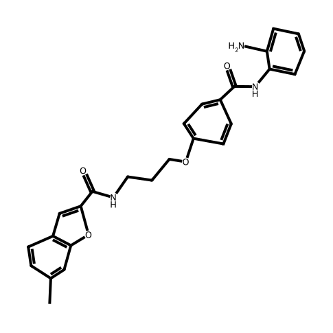 Cc1ccc2cc(C(=O)NCCCOc3ccc(C(=O)Nc4ccccc4N)cc3)oc2c1